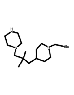 CC(C)(C)CN1CCC(CC(C)(C)CN2CCNCC2)CC1